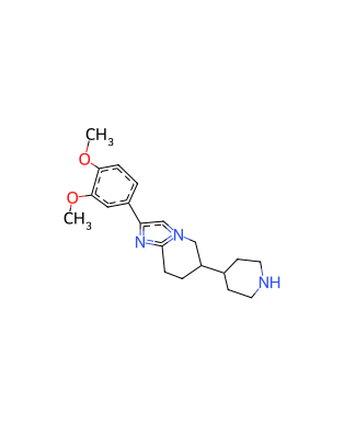 COc1ccc(-c2cn3c(n2)CCC(C2CCNCC2)C3)cc1OC